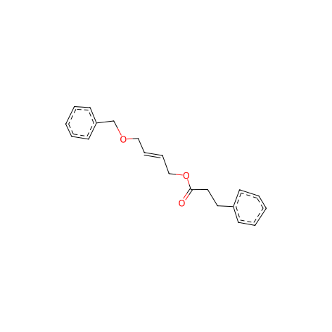 O=C(CCc1ccccc1)OCC=CCOCc1ccccc1